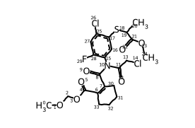 COCOC(=O)C1=C(C(=O)N(C(=O)CCl)c2cc(SC(C)C(=O)OC)c(Cl)cc2F)CCCC1